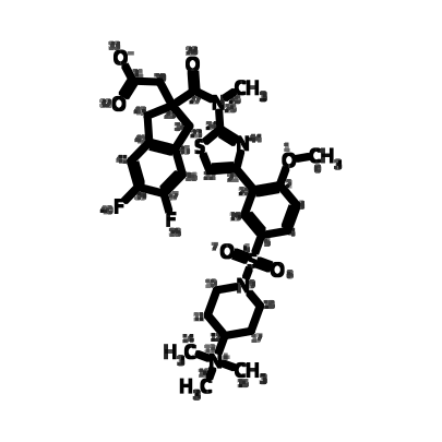 COc1ccc(S(=O)(=O)N2CCC([N+](C)(C)C)CC2)cc1-c1csc(N(C)C(=O)C2(CC(=O)[O-])Cc3cc(F)c(F)cc3C2)n1